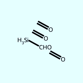 C=O.C=O.C=O.O=C[SiH3]